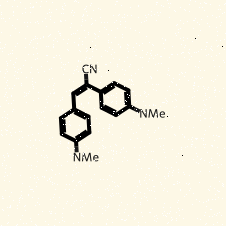 CNc1ccc(C=C(C#N)c2ccc(NC)cc2)cc1